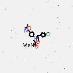 CNC(=O)C1CN(C2CCC(c3ncc(C)o3)CC2)C(Cc2ccc(Cl)cc2)CO1